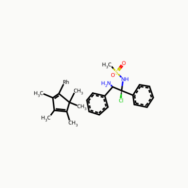 CC1=C(C)C(C)(C)[C]([Rh])=C1C.CS(=O)(=O)N[C@](Cl)(c1ccccc1)[C@H](N)c1ccccc1